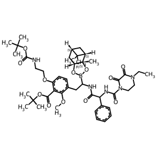 CCN1CCN(C(=O)NC(C(=O)NC(Cc2ccc(OCCNC(=O)OC(C)(C)C)c(C(=O)OC(C)(C)C)c2OC)B2O[C@@H]3C[C@@H]4C[C@@H](C4(C)C)[C@]3(C)O2)c2ccccc2)C(=O)C1=O